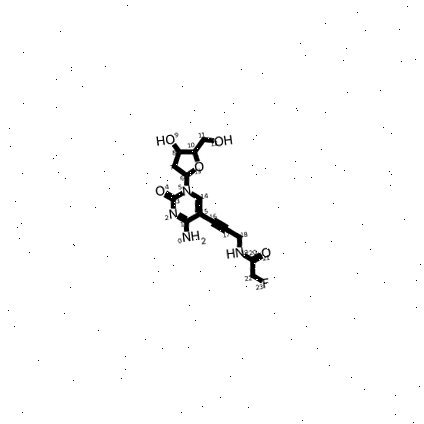 Nc1nc(=O)n(C2CC(O)C(CO)O2)cc1C#CCNC(=O)CF